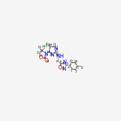 Cc1ccc(-c2noc(CNc3ncc(F)c(N4C(=O)OCC4(C)C)n3)n2)cc1